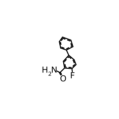 NC(=O)c1cc(-c2ccccc2)ccc1F